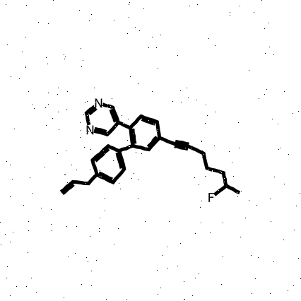 C=CCc1ccc(-c2cc(C#CCCCC(C)F)ccc2-c2cncnc2)cc1